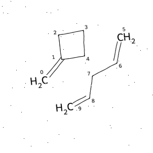 C=C1CCC1.C=CCC=C